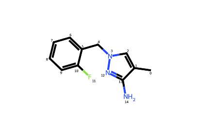 Cc1cn(Cc2ccccc2F)nc1N